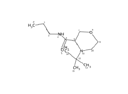 CCCNC(=O)C1COCCN1C(C)(C)C